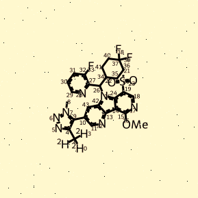 [2H]C([2H])([2H])c1nnn(C)c1-c1cnc2c3c(OC)ncc(S(C)(=O)=O)c3n(C(c3ncccc3F)C3CCC(F)(F)CC3)c2c1